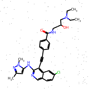 CCN(CC)CC(O)CNC(=O)c1ccc(C#Cc2c(Nc3cc(C)nn3C)ncc3ccc(Cl)cc23)cc1